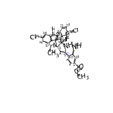 CCN1C2C/C(=C3\C=CC(C(=O)OC)=CC3=N)N[C@H]2[C@H](c2cccc(Cl)c2F)[C@]12C(=O)Nc1cc(Cl)ccc12